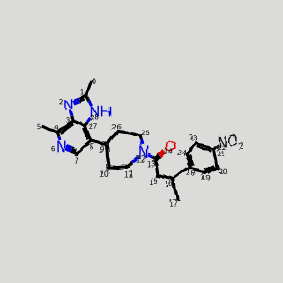 Cc1nc2c(C)ncc(C3CCN(C(=O)CC(C)c4ccc([N+](=O)[O-])cc4)CC3)c2[nH]1